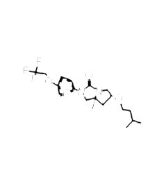 CC(C)CCO[C@H]1CN2C(=O)N(c3ccc(OCC(F)(F)F)cc3)C[C@@]2(C)C1